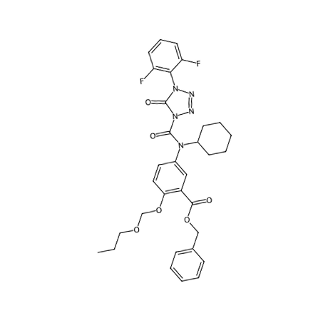 CCCOCOc1ccc(N(C(=O)n2nnn(-c3c(F)cccc3F)c2=O)C2CCCCC2)cc1C(=O)OCc1ccccc1